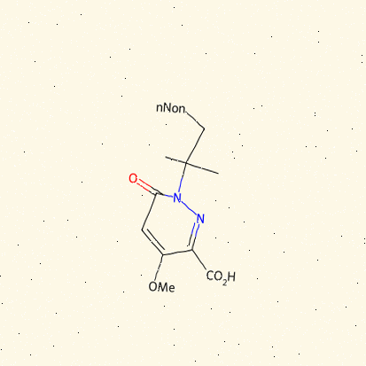 CCCCCCCCCCC(C)(C)n1nc(C(=O)O)c(OC)cc1=O